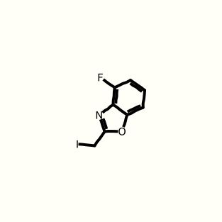 Fc1cccc2oc(CI)nc12